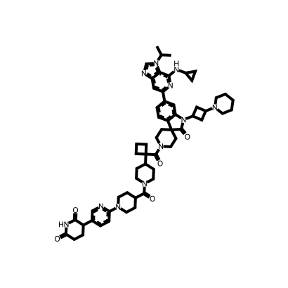 CC(C)n1cnc2cc(-c3ccc4c(c3)N(C3CC(N5CCCCC5)C3)C(=O)C43CCN(C(=O)C4(C5CCN(C(=O)C6CCN(c7ccc(C8CCC(=O)NC8=O)cn7)CC6)CC5)CCC4)CC3)nc(NC3CC3)c21